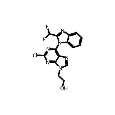 OCCn1cnc2c(-n3c(C(F)F)nc4ccccc43)nc(Cl)nc21